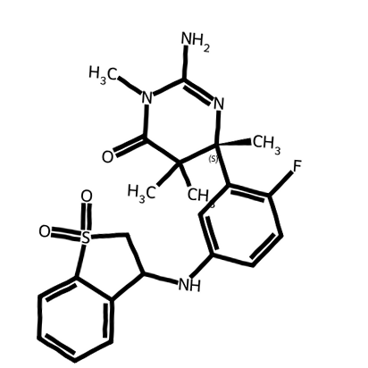 CN1C(=O)C(C)(C)[C@@](C)(c2cc(NC3CS(=O)(=O)c4ccccc43)ccc2F)N=C1N